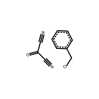 ClCc1ccccc1.N#CC(=O)C#N